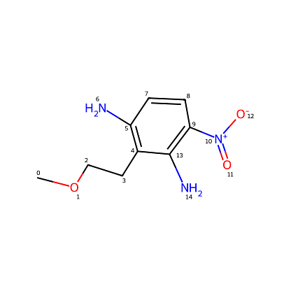 COCCc1c(N)ccc([N+](=O)[O-])c1N